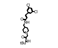 CC(C)(C)NC(=O)CN1CCC(CNC(=O)/C=C/c2cc(Cl)cc(Cl)c2)CC1